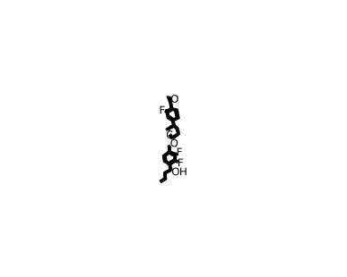 CCCC(O)c1ccc(COC2CCC(c3ccc(C4CO4)c(F)c3)CC2)c(F)c1F